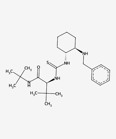 CC(C)(C)NC(=O)[C@@H](NC(=S)N[C@@H]1CCCC[C@H]1NCc1ccccc1)C(C)(C)C